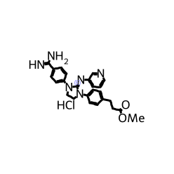 COC(=O)CCc1ccc(N2CCN(c3ccc(C(=N)N)cc3)/C2=N/c2cccnc2)cc1.Cl